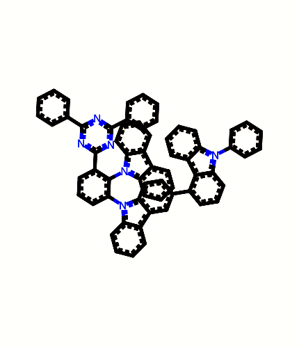 c1ccc(-c2nc(-c3ccccc3)nc(-c3cccc(-n4c5ccccc5c5cc(-c6cccc7c6c6ccccc6n7-c6ccccc6)ccc54)c3-n3c4ccccc4c4ccccc43)n2)cc1